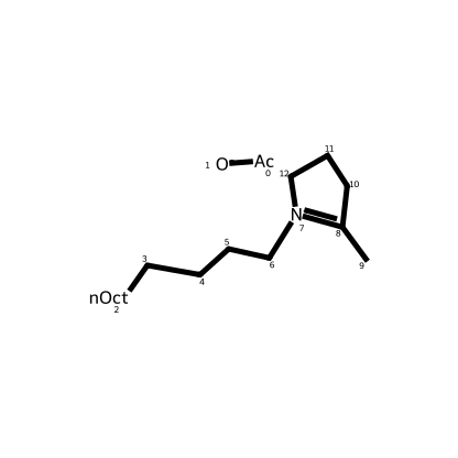 CC(=O)[O-].CCCCCCCCCCCC[N+]1=C(C)CCC1